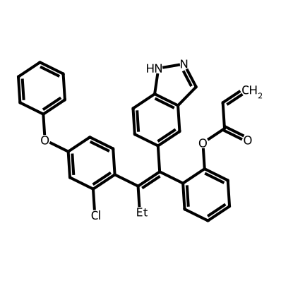 C=CC(=O)Oc1ccccc1/C(=C(\CC)c1ccc(Oc2ccccc2)cc1Cl)c1ccc2[nH]ncc2c1